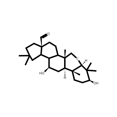 CC1(C)CC[C@]2(C=O)CCC3C(C2C1)[C@H](O)C[C@@H]1[C@@]2(C)CC[C@H](O)C(C)(C)[C@@H]2CC[C@@]31C